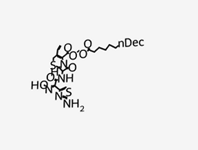 C=CC1=C(C(=O)OCOC(=O)CCCCCCCCCCCCCCC)N2C(=O)C(NC(=O)/C(=N\O)c3csc(N)n3)[C@H]2SC1